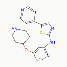 c1cc(-c2cnc(Nc3cc(OC4CCNCC4)ccn3)s2)ccn1